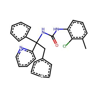 Cc1cccc(NC(=O)NC(Cc2ccccc2)(c2ccccc2)c2ccccn2)c1Cl